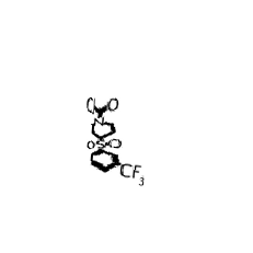 O=C(Cl)N1CCC(S(=O)(=O)c2cccc(C(F)(F)F)c2)CC1